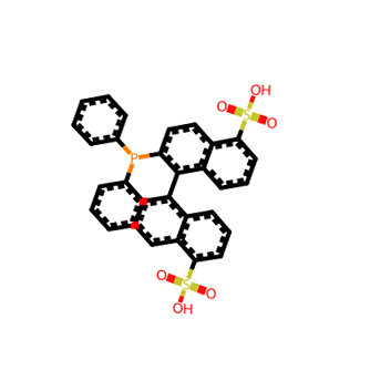 O=S(=O)(O)c1cccc2c(-c3c(P(c4ccccc4)c4ccccc4)ccc4c(S(=O)(=O)O)cccc34)cccc12